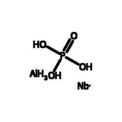 O=P(O)(O)O.[AlH3].[Nb]